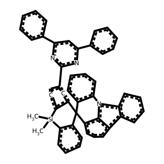 C[Si]1(C)c2ccccc2C2(c3ccccc3-n3c4ccccc4c4cccc2c43)c2cc(-c3nc(-c4ccccc4)cc(-c4ccccc4)n3)ccc21